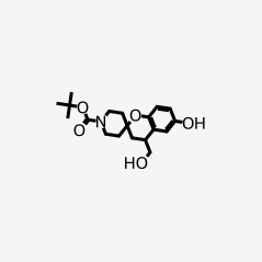 CC(C)(C)OC(=O)N1CCC2(CC1)CC(CO)c1cc(O)ccc1O2